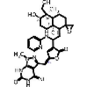 Cn1nc(/C=C2\C=C(C(CC3C4(CCC5[C@]3(C)CC[C@@H](O)[C@@]5(C)CO)CO4)Nc3ccccn3)C(=O)O2)c2c(=N)[nH]c(=O)[nH]c21